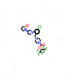 O=C(OC(C(F)(F)F)C(F)(F)F)N1CCN(Cc2ccc(Cl)cc2N2CCC(N3CCC[S+]3[O-])C2)CC1